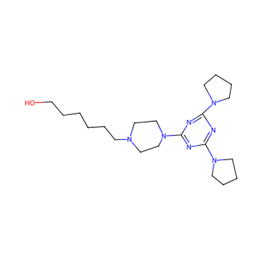 OCCCCCCN1CCN(c2nc(N3CCCC3)nc(N3CCCC3)n2)CC1